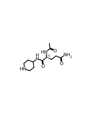 CC(=O)N[C@@H](CCC(N)=O)C(=O)NC1CCNCC1